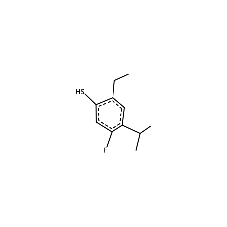 CCc1cc(C(C)C)c(F)cc1S